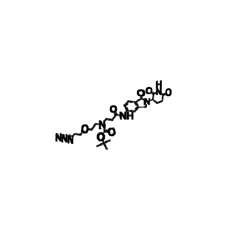 CC(C)(C)OC(=O)N(CCOCCN=[N+]=[N-])CCC(=O)Nc1ccc2c(c1)CN(C1CCC(=O)NC1=O)C2=O